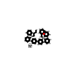 CCCC[P+](c1ccccc1)(c1ccccc1)c1ccccc1.[Br-].[Cl-].c1ccc(C[P+](c2ccccc2)(c2ccccc2)c2ccccc2)cc1